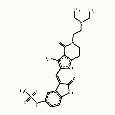 CCN(CC)CCN1CCc2[nH]c(C=C3C(=O)Nc4ccc(NS(C)(=O)=O)cc43)c(C)c2C1=O